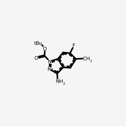 Cc1cc2c(N)nn(C(=O)OC(C)(C)C)c2cc1F